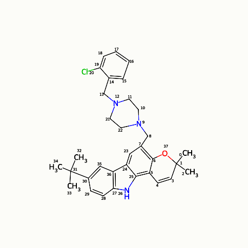 CC1(C)C=Cc2c(c(CN3CCN(Cc4ccccc4Cl)CC3)cc3c2[nH]c2ccc(C(C)(C)C)cc23)O1